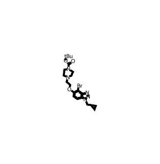 CC(C)(C)OC(=O)N1CCN(CCOc2ccc3c(nnn3CC3CC3)c2Br)CC1